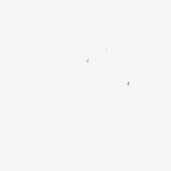 CC(CO)COc1ccc(CNC(=O)N(Cc2ccc(F)cc2)C2CCNCC2)cc1